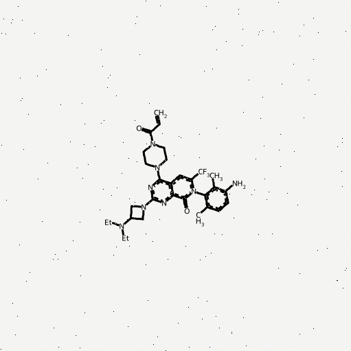 C=CC(=O)N1CCN(c2nc(N3CC(N(CC)CC)C3)nc3c(=O)n(-c4c(C)ccc(N)c4C)c(C(F)(F)F)cc23)CC1